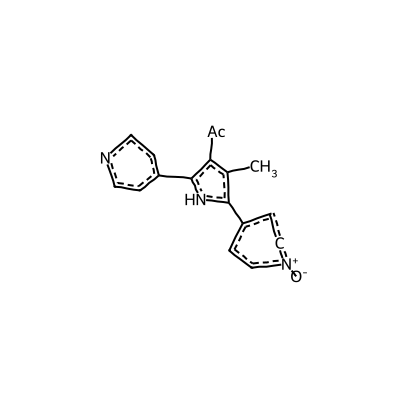 CC(=O)c1c(-c2ccncc2)[nH]c(-c2cc[n+]([O-])cc2)c1C